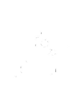 CC1(C)CCc2c(C(F)(F)F)nn(-c3ccc(C(N)=O)c(NC4CCC(OC(=O)CNC(=O)CN)CC4)c3)c2C1.O=C(O)C(F)(F)F